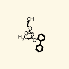 C#CCOS(=O)OC(CC)Oc1ccccc1-c1ccccc1